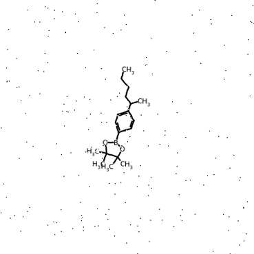 CCCCC(C)c1ccc(B2OC(C)(C)C(C)(C)O2)cc1